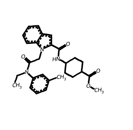 CCN(C(=O)Cn1c(C(=O)NC2CCC(C(=O)OC)CC2)cc2ccccc21)c1cccc(C)c1